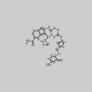 COC(=O)c1ccc2nc(CN3CCN(Cc4ccc(OCc5ccc(Cl)cc5Cl)o4)CC3)n(C[C@@H]3CCO3)c2c1